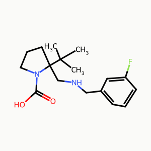 CC(C)(C)C1(CNCc2cccc(F)c2)CCCN1C(=O)O